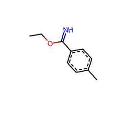 CCOC(=N)c1ccc(C)cc1